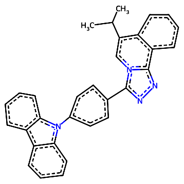 CC(C)c1cn2c(-c3ccc(-n4c5ccccc5c5ccccc54)cc3)nnc2c2ccccc12